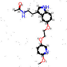 COc1ccc(OCCOc2ccc3[nH]cc(CCNC(C)=O)c3c2)cn1